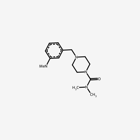 CNc1cccc(CN2CCN(C(=O)N(C)C)CC2)c1